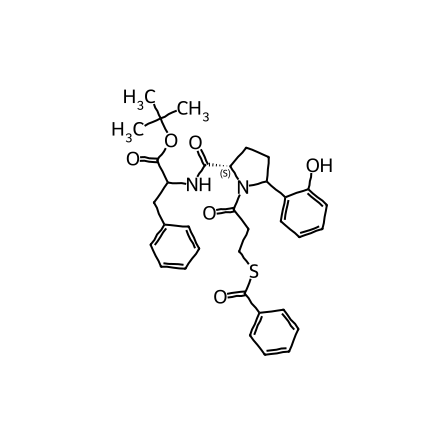 CC(C)(C)OC(=O)C(Cc1ccccc1)NC(=O)[C@@H]1CCC(c2ccccc2O)N1C(=O)CCSC(=O)c1ccccc1